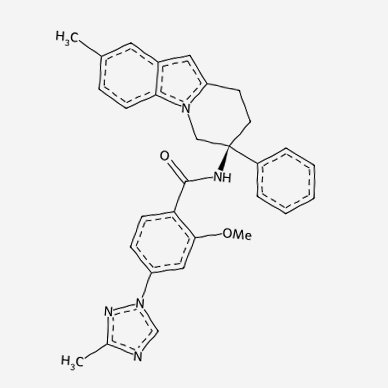 COc1cc(-n2cnc(C)n2)ccc1C(=O)N[C@]1(c2ccccc2)CCc2cc3cc(C)ccc3n2C1